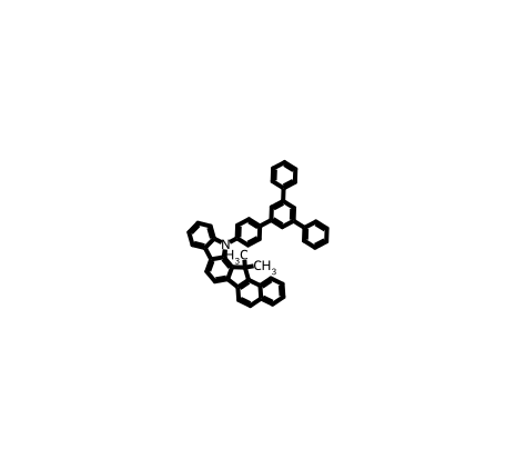 CC1(C)c2c(ccc3ccccc23)-c2ccc3c4ccccc4n(-c4ccc(-c5cc(-c6ccccc6)cc(-c6ccccc6)c5)cc4)c3c21